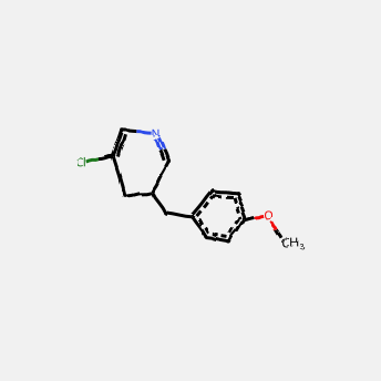 COc1ccc(CC2C=NC=C(Cl)C2)cc1